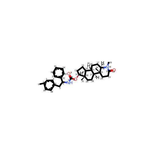 Cc1ccc(CC(NC(=O)O[C@H]2CC[C@H]3[C@@H]4CC[C@H]5N(C)C(=O)CC[C@]5(C)[C@H]4CC[C@]23C)c2ccccc2)cc1